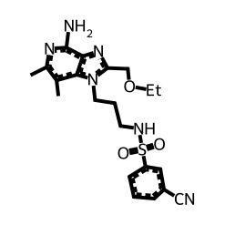 CCOCc1nc2c(N)nc(C)c(C)c2n1CCCNS(=O)(=O)c1cccc(C#N)c1